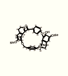 COc1cc2c3c(c1O)Oc1ccc(cc1)C(=O)C1=NCCc4cc(OC)c(c(O)c41)OCc1ccc(cc1)C[C@@H]3N(C)CC2